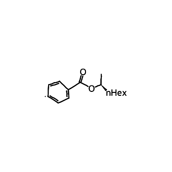 CCCCCC[C@H](C)OC(=O)c1cc[c]cc1